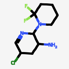 NC1CC(Cl)C=NC1N1CCCCC1(F)F